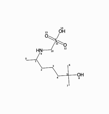 CC(CCCC(C)(C)O)NCS(=O)(=O)O